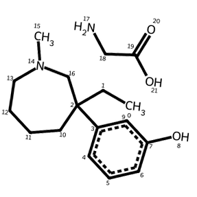 CCC1(c2cccc(O)c2)CCCCN(C)C1.NCC(=O)O